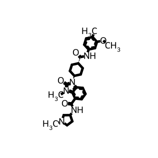 COc1cc(NC(=O)[C@H]2CC[C@@H](n3c(=O)n(C)c4c(C(=O)NC5CCN(C)C5)cccc43)CC2)ccc1C